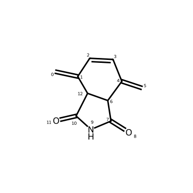 C=C1C=CC(=C)C2C(=O)NC(=O)C12